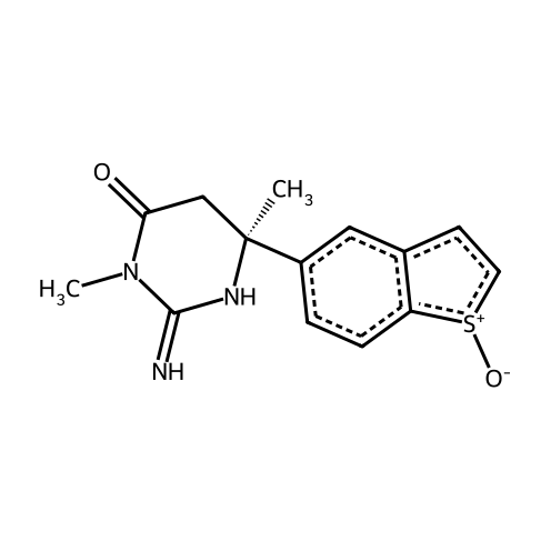 CN1C(=N)N[C@](C)(c2ccc3c(cc[s+]3[O-])c2)CC1=O